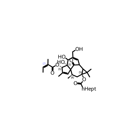 C/C=C(/C)C(=O)O[C@H]1C(C)=CC23C(=O)C(C=C(CO)C(O)[C@]12O)C1C(C)(C)[C@]1(OC(=O)CCCCCCC)C[C@H]3C